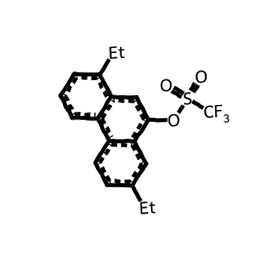 CCc1ccc2c(c1)c(OS(=O)(=O)C(F)(F)F)cc1c(CC)cccc12